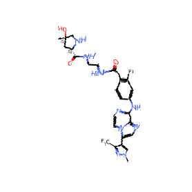 CCc1cc(Nc2nccn3c(-c4cn(C)nc4C(F)(F)F)cnc23)ccc1C(=O)NCCNC(=O)[C@@H]1C[C@](C)(O)CN1